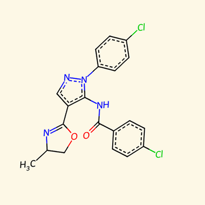 CC1COC(c2cnn(-c3ccc(Cl)cc3)c2NC(=O)c2ccc(Cl)cc2)=N1